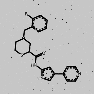 O=C(Nc1cc(-c2ccncc2)c[nH]1)C1CN(Cc2ccccc2F)CCS1